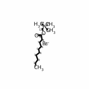 CCCCCCCCCC(=O)OC[N+](C)(C)C.[Br-]